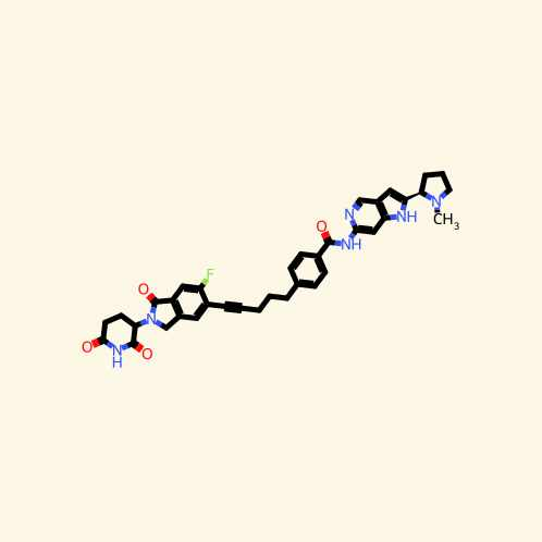 CN1CCC[C@@H]1c1cc2cnc(NC(=O)c3ccc(CCCC#Cc4cc5c(cc4F)C(=O)N(C4CCC(=O)NC4=O)C5)cc3)cc2[nH]1